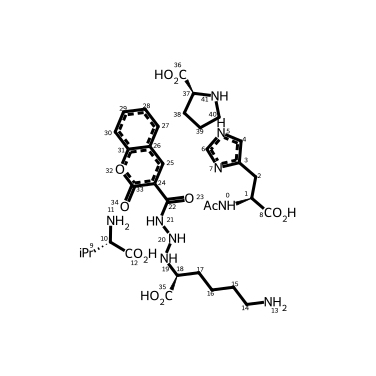 CC(=O)N[C@@H](Cc1c[nH]cn1)C(=O)O.CC(C)[C@H](N)C(=O)O.NCCCC[C@H](NNNC(=O)c1cc2ccccc2oc1=O)C(=O)O.O=C(O)[C@@H]1CCCN1